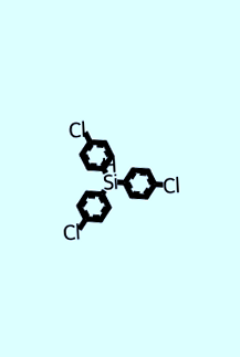 Clc1ccc([SiH](c2ccc(Cl)cc2)c2ccc(Cl)cc2)cc1